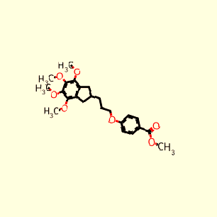 COC(=O)c1ccc(OCCCC2Cc3c(c(OC)c(OC)c(OC)c3OC)C2)cc1